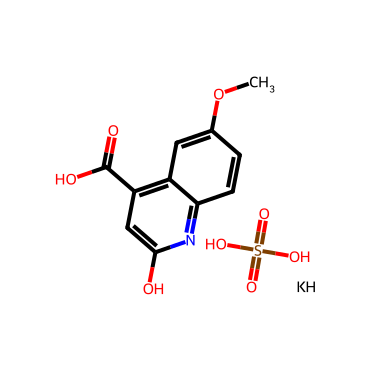 COc1ccc2nc(O)cc(C(=O)O)c2c1.O=S(=O)(O)O.[KH]